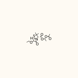 CCO[C@@H]1C(=O)N2[C@@H]1SC(C)(C)[C@@H]2C(=O)OC(C)OC(C)=O